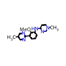 COc1c(NC2=NCN(C)C=C2)cccc1-c1ncc(C)cn1